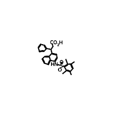 Cc1cc(C)c(C)c(S(=O)(=O)Nc2ccc(C(CC(=O)O)c3ccccc3)c3ccccc23)c1C